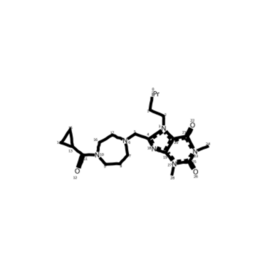 CC(C)CCn1c(CN2CCCN(C(=O)C3CC3)CC2)nc2c1c(=O)n(C)c(=O)n2C